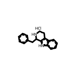 Cl.c1ccc(CC2NCCc3c2[nH]c2ccccc32)cc1